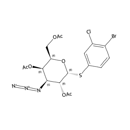 CC(=O)OC[C@H]1O[C@H](Sc2ccc(Br)c(Cl)c2)[C@H](OC(C)=O)[C@@H](N=[N+]=[N-])[C@H]1OC(C)=O